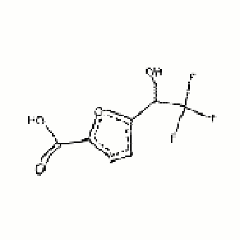 O=C(O)c1ccc(C(O)C(F)(F)F)o1